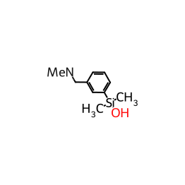 CNCc1cccc([Si](C)(C)O)c1